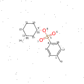 Cc1ccc(S(=O)(=O)O[C@H]2CCC[C@@H](C)C2)cc1